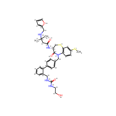 CSc1ccc2c(c1)SC[C@@H](NC(=O)CC(C)(C)NCc1ccco1)C(=O)N2Cc1ccc(-c2ccccc2CNC(=O)NCCO)cc1